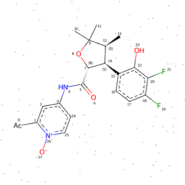 CC(=O)c1cc(NC(=O)[C@@H]2OC(C)(C)[C@@H](C)[C@H]2c2ccc(F)c(F)c2O)cc[n+]1[O-]